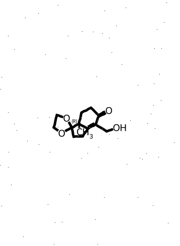 C[C@@]12CCC(=O)C(CO)=C1CCC21OCCO1